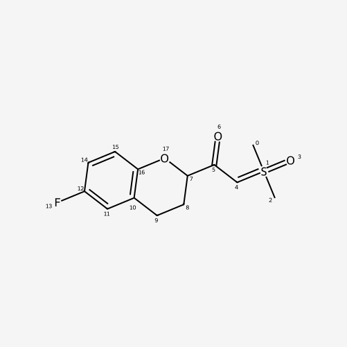 CS(C)(=O)=CC(=O)C1CCc2cc(F)ccc2O1